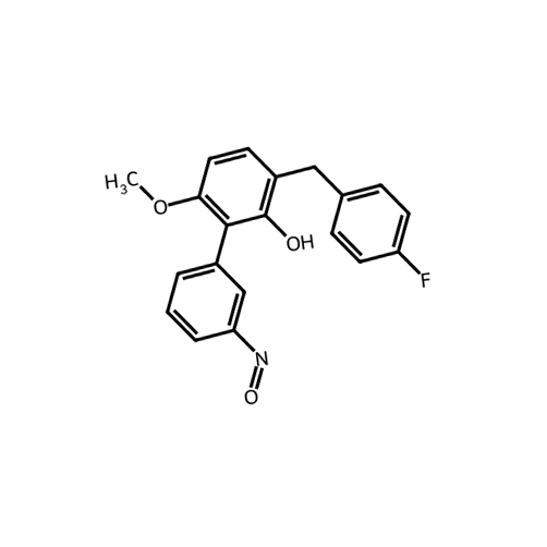 COc1ccc(Cc2ccc(F)cc2)c(O)c1-c1cccc(N=O)c1